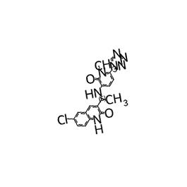 C[C@H](Nc1ccc(-n2cnnn2)n(C)c1=O)c1cc2cc(Cl)ccc2[nH]c1=O